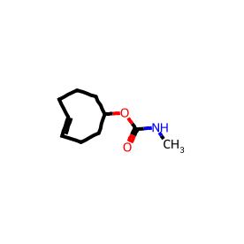 CNC(=O)OC1CC/C=C/CCC1